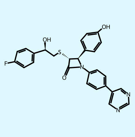 O=C1[C@H](SC[C@H](O)c2ccc(F)cc2)[C@@H](c2ccc(O)cc2)N1c1ccc(-c2cncnc2)cc1